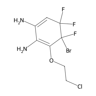 NC1=CC(F)(F)C(F)(Br)C(OCCCl)=C1N